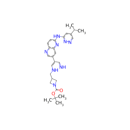 CC(C)c1cnnc(Nc2ccc3ncc(/C(C=N)=C/NCC4CN(C(=O)OC(C)(C)C)C4)cc3n2)c1